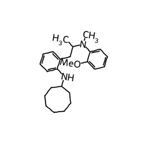 COc1ccccc1N(C)C(C)Cc1ccccc1NC1CCCCCCC1